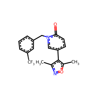 Cc1noc(C)c1-c1ccc(=O)n(Cc2cccc(C(F)(F)F)c2)c1